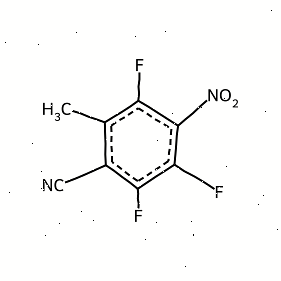 Cc1c(F)c([N+](=O)[O-])c(F)c(F)c1C#N